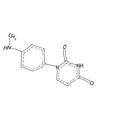 CNc1ccc(-n2ccc(=O)[nH]c2=O)cc1